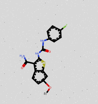 CCOc1ccc2c(C(N)=O)c(NC(=O)Nc3ccc(F)cc3)sc2c1